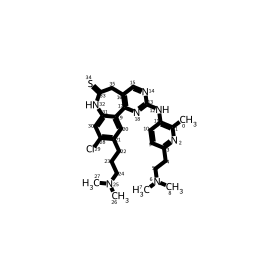 Cc1nc(CCN(C)C)ccc1Nc1ncc2c(n1)-c1cc(CCCN(C)C)c(Cl)cc1NC(=S)C2